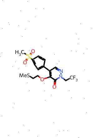 CSCCOc1c(-c2ccc(S(C)(=O)=O)cc2)cnn(CC(F)(F)F)c1=O